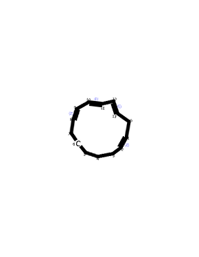 [CH]1/C=C\CCCCC\C=C/C=C/C=C/1